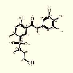 Cc1cc(Cl)c(C(=O)Nc2cc(F)c(F)c(Cl)c2)cc1S(=O)(=O)N(C)CCO